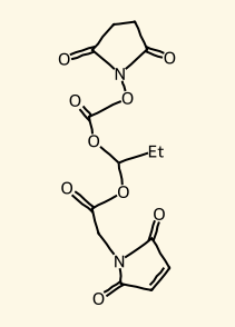 CCC(OC(=O)CN1C(=O)C=CC1=O)OC(=O)ON1C(=O)CCC1=O